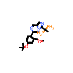 COCc1cc(OC(C)(C)C)ccc1-c1cn2c(C(C)(P)P)ncc2cn1